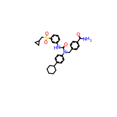 NC(=O)c1ccc(CN(C(=O)Nc2cccc(S(=O)(=O)CC3CC3)c2)c2ccc(C3CCCCC3)cc2)cc1